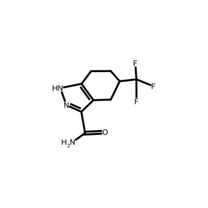 NC(=O)c1n[nH]c2c1CC(C(F)(F)F)CC2